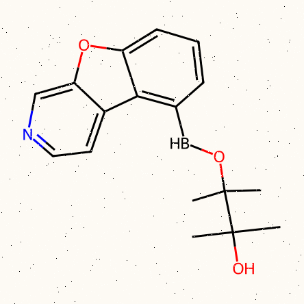 CC(C)(O)C(C)(C)OBc1cccc2oc3cnccc3c12